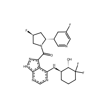 O=C(c1n[nH]c2ncnc(N[C@@H]3CCCC(F)(F)[C@H]3O)c12)N1C[C@@H](F)C[C@@H]1C1C=NC=C(F)C1